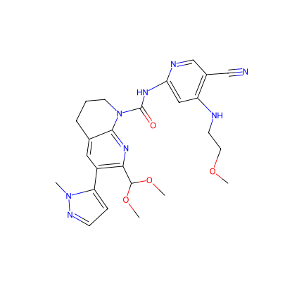 COCCNc1cc(NC(=O)N2CCCc3cc(-c4ccnn4C)c(C(OC)OC)nc32)ncc1C#N